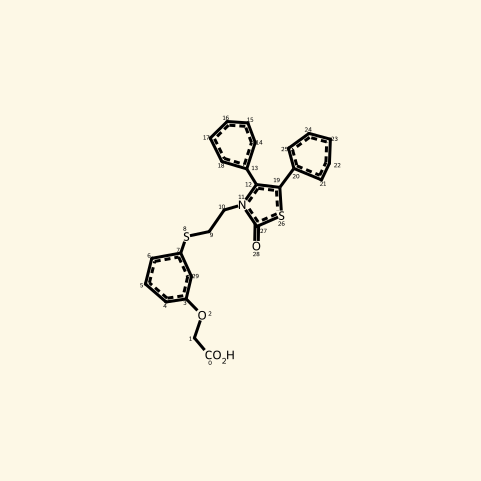 O=C(O)COc1cccc(SCCn2c(-c3ccccc3)c(-c3ccccc3)sc2=O)c1